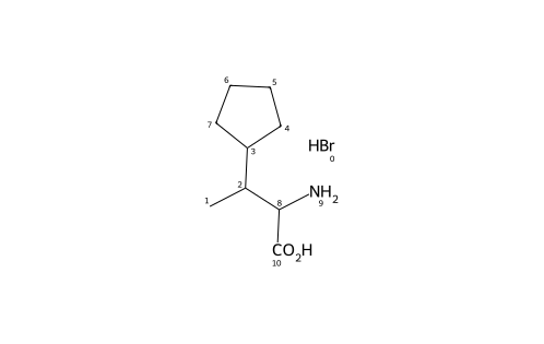 Br.CC(C1CCCC1)C(N)C(=O)O